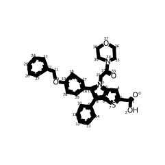 O=C(O)c1cc2c(s1)c(-c1ccccc1)c(-c1ccc(OCc3ccccc3)cc1)n2CC(=O)N1CCOCC1